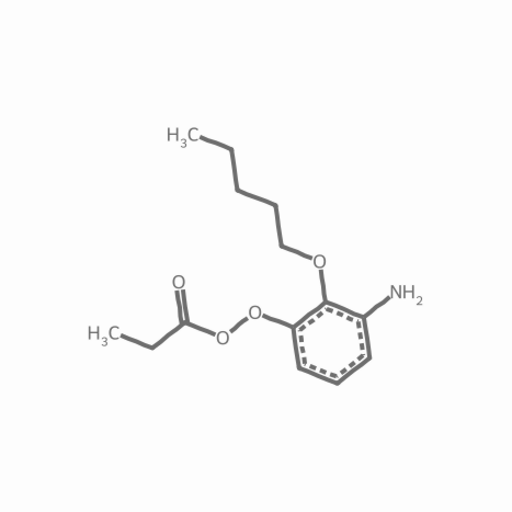 CCCCCOc1c(N)cccc1OOC(=O)CC